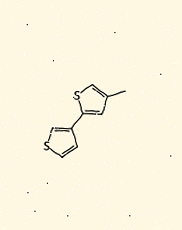 Cc1csc(-c2ccsc2)c1